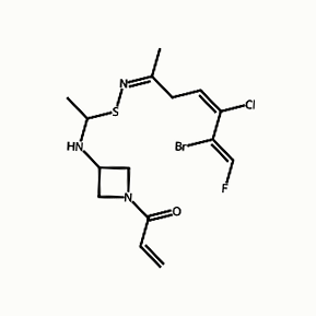 C=CC(=O)N1CC(NC(C)S/N=C(/C)C/C=C(Cl)\C(Br)=C\F)C1